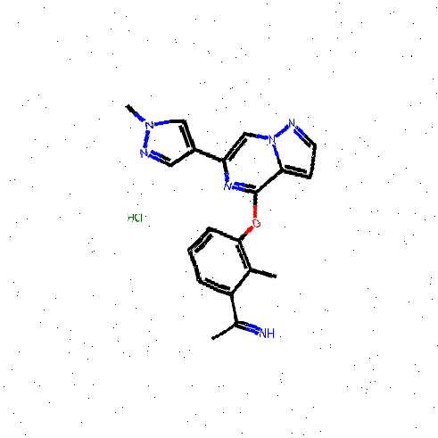 CC(=N)c1cccc(Oc2nc(-c3cnn(C)c3)cn3nccc23)c1C.Cl